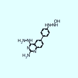 NNc1nc(N)nc2ccc(-c3ccc(NNO)cc3)cc12